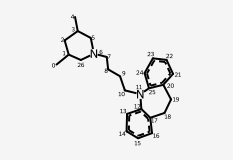 CC1CC(C)CN(CCCCN2c3ccccc3CCc3ccccc32)C1